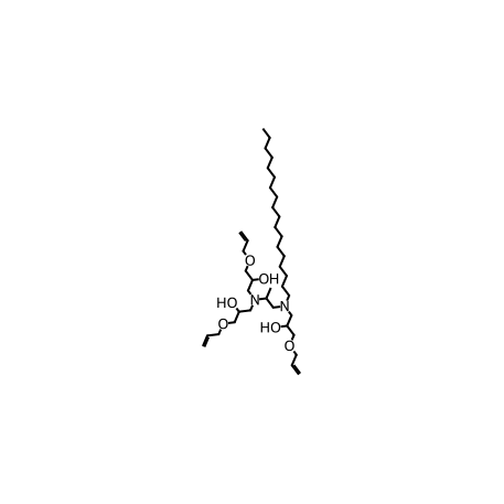 C=CCOCC(O)CN(CCCCCCCCCCCCCCCCCC)CC(C)N(CC(O)COCC=C)CC(O)COCC=C